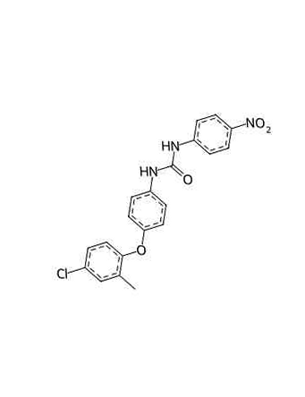 Cc1cc(Cl)ccc1Oc1ccc(NC(=O)Nc2ccc([N+](=O)[O-])cc2)cc1